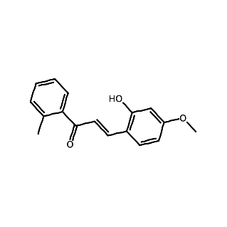 COc1ccc(C=CC(=O)c2ccccc2C)c(O)c1